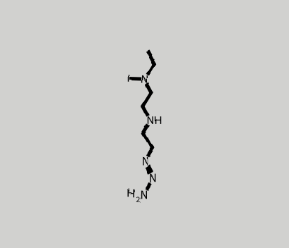 CCN(I)CCNCCN=NN